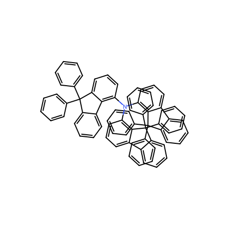 c1ccc(C2(c3ccccc3)c3ccccc3-c3c(N(c4cccc5c4C(c4ccccc4)(c4ccccc4)c4ccccc4-5)c4cccc5c4C(c4ccccc4)(c4ccccc4)c4ccccc4-5)cccc32)cc1